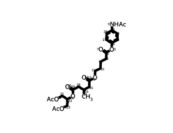 CC(=O)Nc1ccc(OC(=O)CCCCOC(=O)CC(C)CC(=O)OC(COC(C)=O)COC(C)=O)cc1